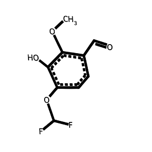 COc1c(C=O)ccc(OC(F)F)c1O